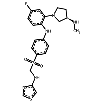 CN[C@@H]1CCN(c2cc(F)ccc2Nc2ccc(S(=O)(=O)CNc3cscn3)cc2)C1